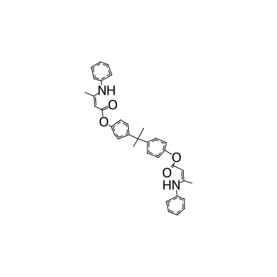 C/C(=C/C(=O)Oc1ccc(C(C)(C)c2ccc(OC(=O)/C=C(/C)Nc3ccccc3)cc2)cc1)Nc1ccccc1